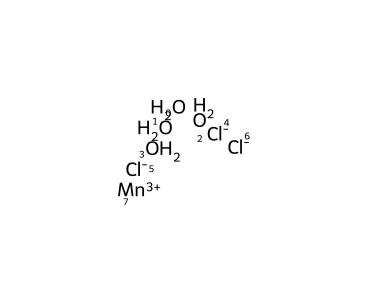 O.O.O.O.[Cl-].[Cl-].[Cl-].[Mn+3]